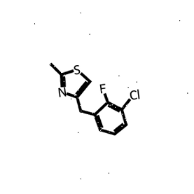 Cc1nc(Cc2cccc(Cl)c2F)cs1